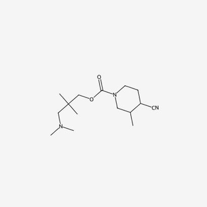 CC1CN(C(=O)OCC(C)(C)CN(C)C)CCC1C#N